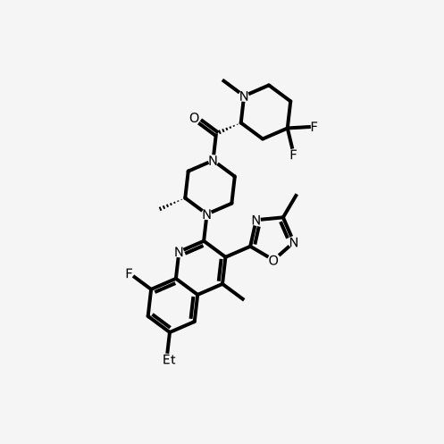 CCc1cc(F)c2nc(N3CCN(C(=O)[C@H]4CC(F)(F)CCN4C)C[C@H]3C)c(-c3nc(C)no3)c(C)c2c1